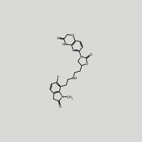 CN1C(=O)Cc2ccc(F)c(CCNCCC3CN(c4ccc5c(n4)NC(=O)CO5)C(=O)O3)c21